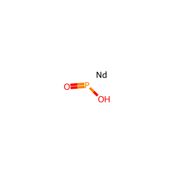 O=PO.[Nd]